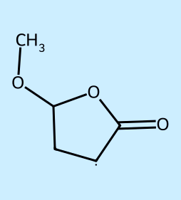 COC1C[CH]C(=O)O1